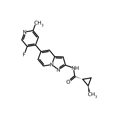 Cc1cc(-c2ccn3nc(NC(=O)[C@@H]4C[C@H]4C)cc3c2)c(F)cn1